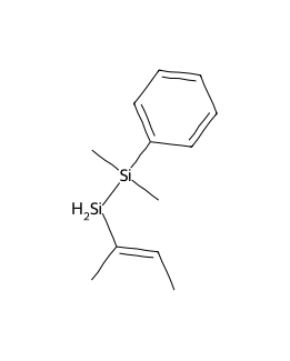 CC=C(C)[SiH2][Si](C)(C)c1ccccc1